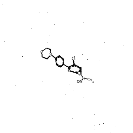 CN(N=O)N1c2cc(Cl)c(-c3ccc(N4CCOCC4)cc3)nc21